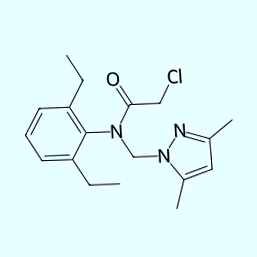 CCc1cccc(CC)c1N(Cn1nc(C)cc1C)C(=O)CCl